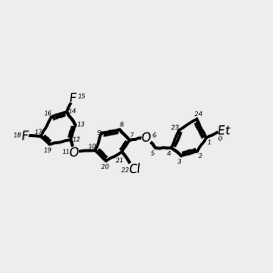 CCc1ccc(COc2ccc(Oc3cc(F)cc(F)c3)cc2Cl)cc1